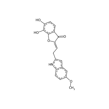 COc1ccc2[nH]c(CC=C3Oc4c(ccc(O)c4O)C3=O)cc2c1